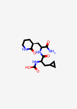 NC(=O)C(C[C@@H]1CCCNC1=O)NC(=O)C(CC1CC1)NC(=O)O